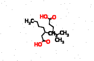 CC(C)CCCC(=O)O.CCCCC(C)CC(=O)O